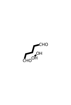 O=CCCCC=O.OO